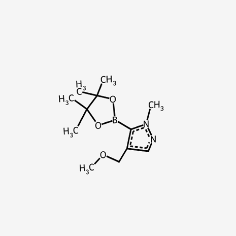 COCc1cnn(C)c1B1OC(C)(C)C(C)(C)O1